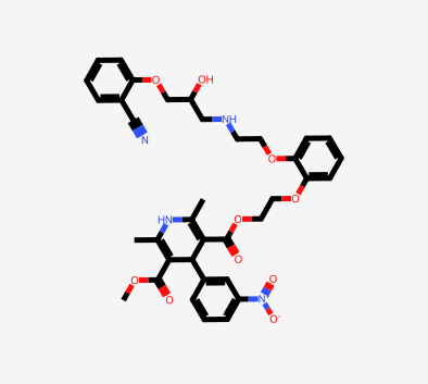 COC(=O)C1=C(C)NC(C)=C(C(=O)OCCOc2ccccc2OCCNCC(O)COc2ccccc2C#N)C1c1cccc([N+](=O)[O-])c1